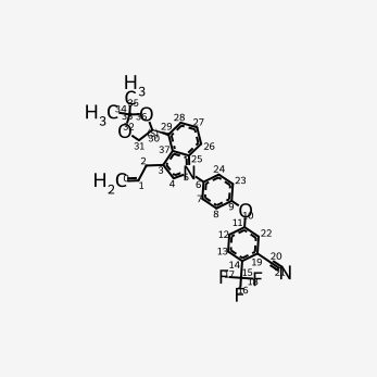 C=CCc1cn(-c2ccc(Oc3ccc(C(F)(F)F)c(C#N)c3)cc2)c2cccc([C@H]3COC(C)(C)O3)c12